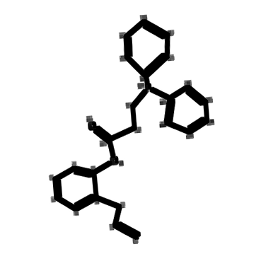 C=CCc1ccccc1OC(=O)CCP(c1ccccc1)c1ccccc1